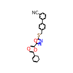 N#Cc1cccc(-c2ccc(CSc3nnc(C4=COC=C(C5=CC=CCC5)O4)o3)cc2)c1